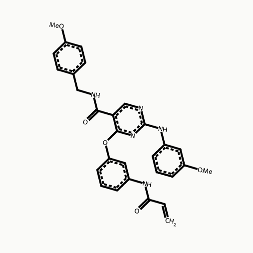 C=CC(=O)Nc1cccc(Oc2nc(Nc3cccc(OC)c3)ncc2C(=O)NCc2ccc(OC)cc2)c1